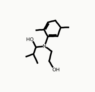 CC1=CCC(C)C=C1N(CCO)C(O)C(C)C